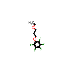 C=COCCCOc1c(F)c(F)c(F)c(F)c1F